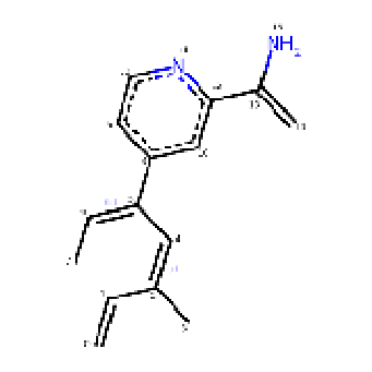 C=C/C(C)=C\C(=C/C)c1ccnc(C(=C)N)c1